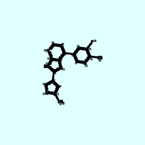 Cn1cc(-c2nc3c(-c4cnc(C#N)c(F)c4)ccnc3[nH]2)cn1